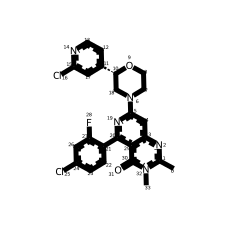 Cc1nc2cc(N3CCO[C@@H](c4ccnc(Cl)c4)C3)nc(-c3ccc(Cl)cc3F)c2c(=O)n1C